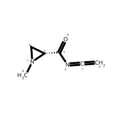 C=C=NC(=O)[C@H]1CN1C